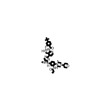 C=CC(=O)Nc1cc(Nc2nc(-c3ccnc(NC(=O)c4ccc(C(C)(C)C)cc4F)c3CO)ncc2NC)ccc1N1CCN(C2CCOCC2)C[C@@H]1C